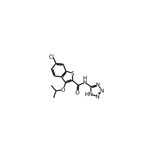 CC(C)Oc1c(C(=O)Nc2nnn[nH]2)sc2cc(Cl)ccc12